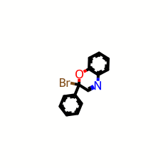 BrC1(c2ccccc2)C=Nc2ccccc2O1